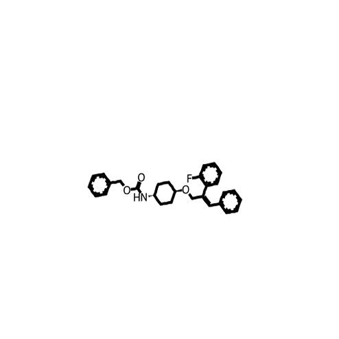 O=C(N[C@H]1CC[C@H](OCC(=Cc2ccccc2)c2ccccc2F)CC1)OCc1ccccc1